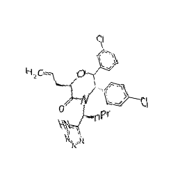 C=CC[C@H]1OC(c2cccc(Cl)c2)[C@H](c2ccc(Cl)cc2)N([C@@H](CCC)c2nnn[nH]2)C1=O